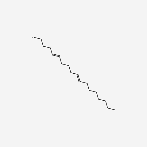 [CH2]CCCC=CCCCC=CCCCCCCC